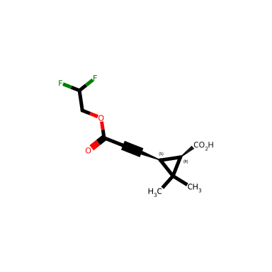 CC1(C)[C@H](C(=O)O)[C@@H]1C#CC(=O)OCC(F)F